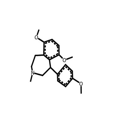 COc1ccc(C2CN(C)CCc3c(OC)ccc(OC)c32)cc1